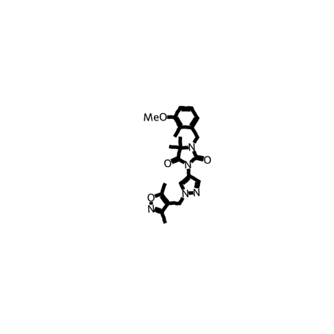 COc1cccc(CN2C(=O)N(c3cnn(Cc4c(C)noc4C)c3)C(=O)C2(C)C)c1C